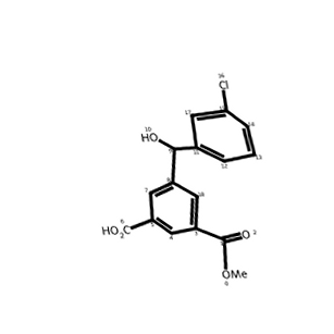 COC(=O)c1cc(C(=O)O)cc(C(O)c2cccc(Cl)c2)c1